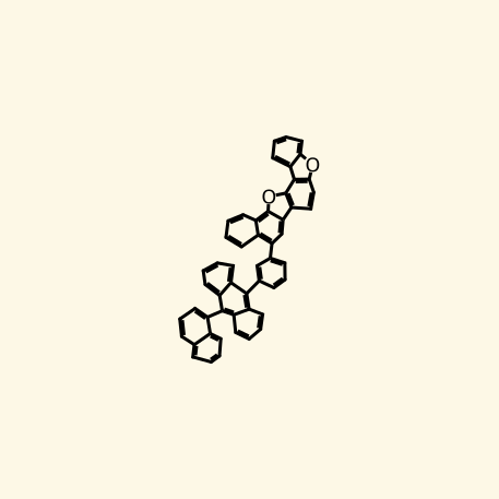 c1cc(-c2c3ccccc3c(-c3cccc4ccccc34)c3ccccc23)cc(-c2cc3c4ccc5oc6ccccc6c5c4oc3c3ccccc23)c1